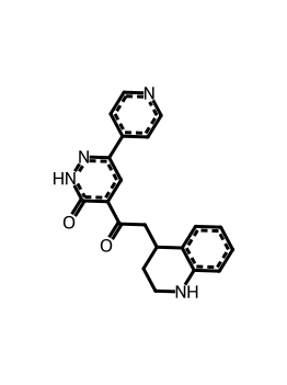 O=C(CC1CCNc2ccccc21)c1cc(-c2ccncc2)n[nH]c1=O